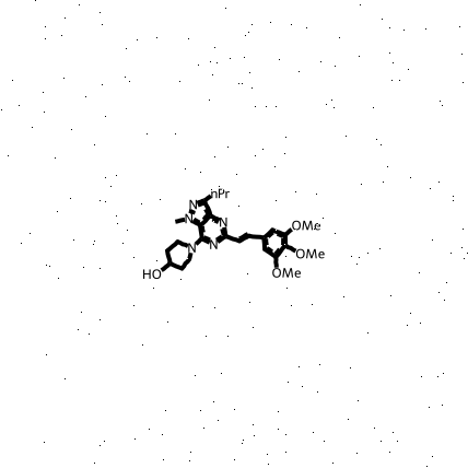 CCCc1nn(C)c2c(N3CCC(O)CC3)nc(/C=C/c3cc(OC)c(OC)c(OC)c3)nc12